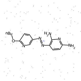 CCCCOc1ccc(/N=N/c2ccc(N)nc2N)cn1